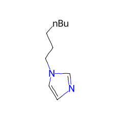 CCCCCCCn1ccnc1